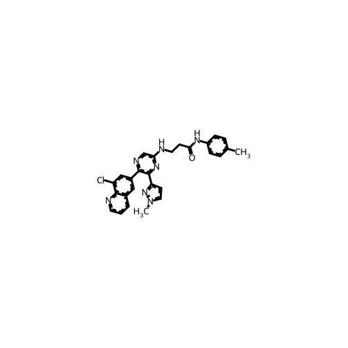 Cc1ccc(NC(=O)CCNc2cnc(-c3cc(Cl)c4ncccc4c3)c(-c3ccn(C)n3)n2)cc1